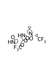 O=C1NCC[C@H]1C[C@H](NC(=O)[C@@H]1CC2(CC2)CN1C(=O)[C@@H]1CC1C(F)(F)F)C(=O)COC(F)(F)F